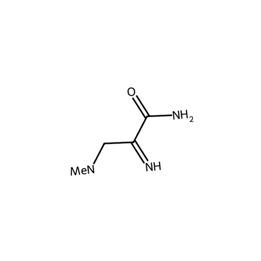 CNCC(=N)C(N)=O